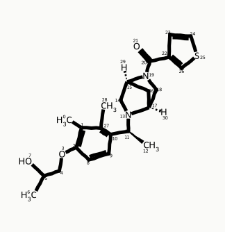 Cc1c(OCC(C)O)ccc([C@H](C)N2C[C@@H]3C[C@H]2CN3C(=O)c2ccsc2)c1C